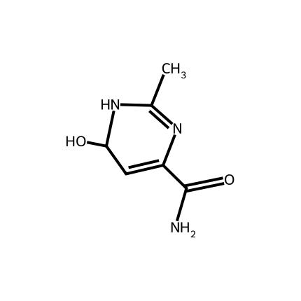 CC1=NC(C(N)=O)=CC(O)N1